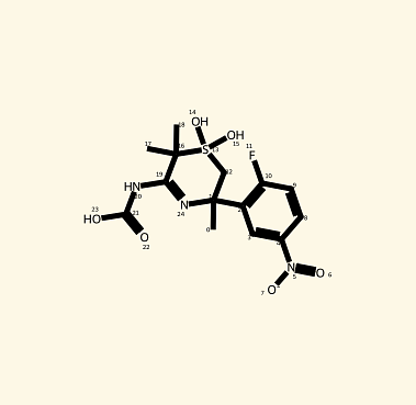 CC1(c2cc([N+](=O)[O-])ccc2F)CS(O)(O)C(C)(C)C(NC(=O)O)=N1